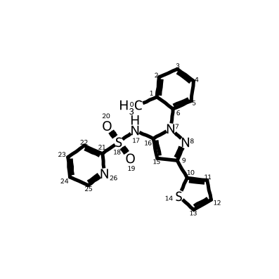 Cc1ccccc1-n1nc(-c2cccs2)cc1NS(=O)(=O)c1ccccn1